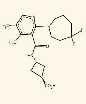 Cc1c(C(F)(F)F)cnc(N2CCCC(F)(F)CC2)c1C(=O)N[C@H]1C[C@H](C(=O)O)C1